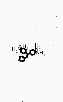 NC1(N)CCC(C(=Cc2ccccc2)C2CCC(N)(N)CC2)CC1